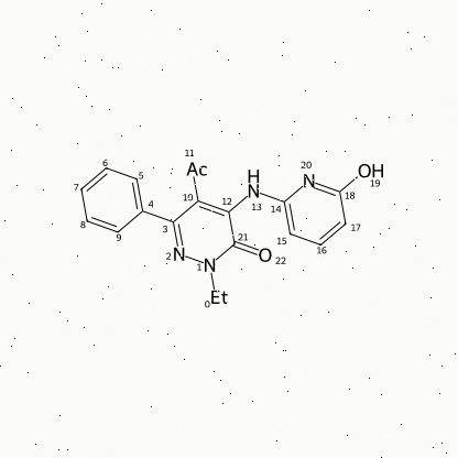 CCn1nc(-c2ccccc2)c(C(C)=O)c(Nc2cccc(O)n2)c1=O